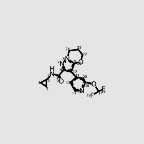 O=C(NC1CC1)c1nn2c(c1-c1ccnc(OC(F)F)c1)OCCC2